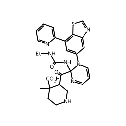 CCNC(=O)NC1(C(=O)C2CNCCC2(C)C(=O)O)N=CC=CN1c1cc(-c2ccccn2)c2scnc2c1